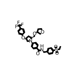 CCS(=O)(=O)c1ccc(CNC(=O)c2ccc(N3C[C@H](Oc4ccc(C(F)(F)F)cc4)C[C@H]3CO[C@H]3CCOC3)cc2)cc1